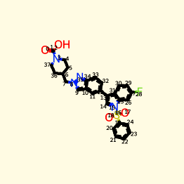 O=C(O)N1CCC(Cn2cc3cc(-c4cn(S(=O)(=O)c5ccccc5)c5cc(F)ccc45)ccc3n2)CC1